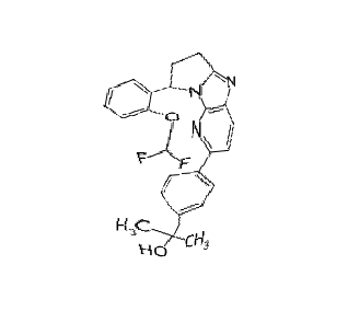 CC(C)(O)c1ccc(-c2ccc3nc4n(c3n2)C(c2ccccc2OC(F)F)CC4)cc1